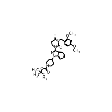 COc1ccc(CN2C(=O)CCN(c3nn(C4CCN(C(=O)OC(C)(C)C)CC4)c4ccccc34)C2=O)c(OC)c1